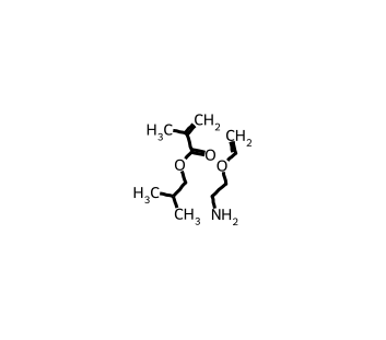 C=C(C)C(=O)OCC(C)C.C=COCCN